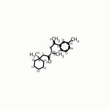 C=C(CN(C)C(=O)CC1(C)CCCCC1)c1cccc(C)c1